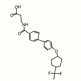 O=C(O)CCNC(=O)c1ccc(-c2ccc(OC3CCC(C(F)(F)F)CC3)cc2)cc1